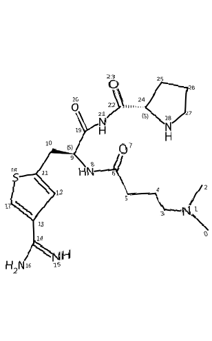 CN(C)CCCC(=O)N[C@@H](Cc1cc(C(=N)N)cs1)C(=O)NC(=O)[C@@H]1CCCN1